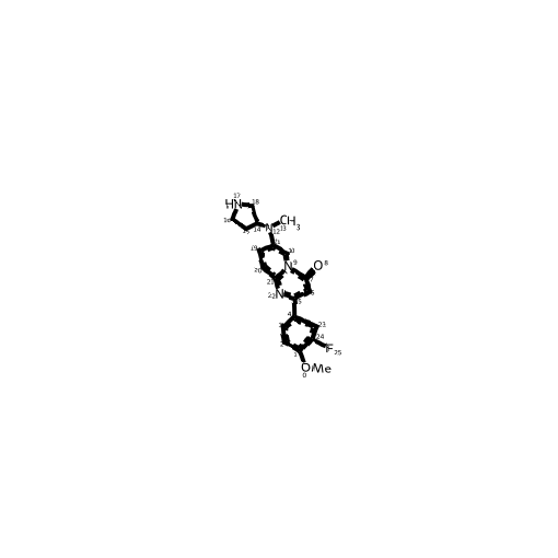 COc1ccc(-c2cc(=O)n3cc(N(C)C4CCNC4)ccc3n2)cc1F